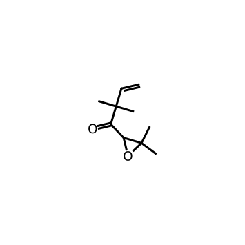 C=CC(C)(C)C(=O)C1OC1(C)C